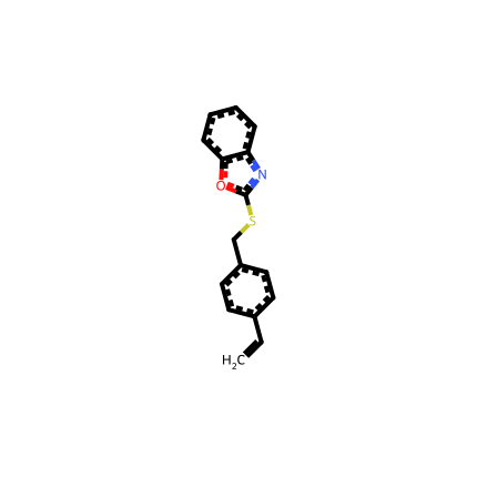 C=Cc1ccc(CSc2nc3ccccc3o2)cc1